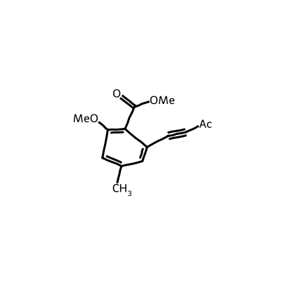 COC(=O)c1c(C#CC(C)=O)cc(C)cc1OC